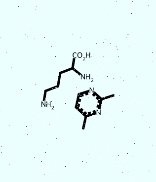 Cc1ccnc(C)n1.NCCCC(N)C(=O)O